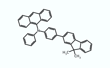 CC1(C)c2ccccc2-c2ccc(-c3ccc(N(c4ccccc4)c4c5ccccc5cc5ccccc45)cc3)cc21